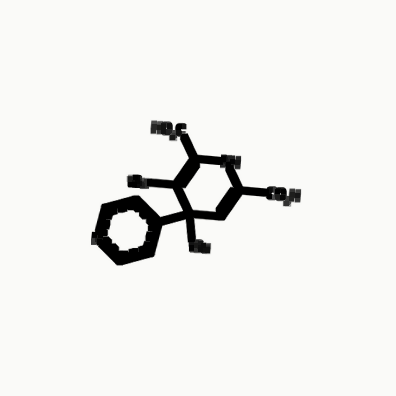 CC(C)(C)C1=C(C(=O)O)NC(C(=O)O)=CC1(c1ccncc1)C(C)(C)C